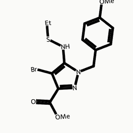 CCSNc1c(Br)c(C(=O)OC)nn1Cc1ccc(OC)cc1